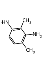 Cc1ccc([NH])c(C)c1N